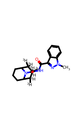 [2H]C1([2H])C2CCCC(N2C([2H])([2H])[2H])C([2H])([2H])C1NC(=O)c1nn(C)c2ccccc12